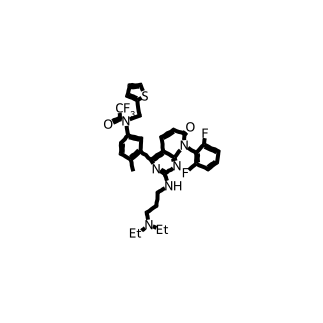 CCN(CC)CCCNc1nc(-c2cc(N(Cc3cccs3)C(=O)C(F)(F)F)ccc2C)c2ccc(=O)n(-c3c(F)cccc3F)c2n1